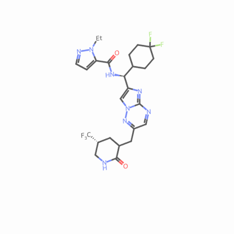 CCn1nccc1C(=O)N[C@H](c1cn2nc(CC3C[C@@H](C(F)(F)F)CNC3=O)cnc2n1)C1CCC(F)(F)CC1